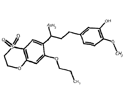 CCCOc1cc2c(cc1C([AsH2])CCc1ccc(OC)c(O)c1)S(=O)(=O)CCO2